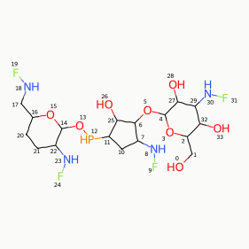 OCC1OC(OC2C(NF)CC(POC3OC(CNF)CCC3NF)C2O)C(O)C(NF)C1O